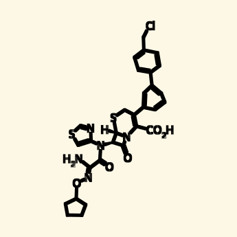 N/C(=N\OC1CCCC1)C(=O)N(c1cscn1)[C@@H]1C(=O)N2C(C(=O)O)=C(c3cccc(-c4ccc(CCl)cc4)c3)CS[C@@H]12